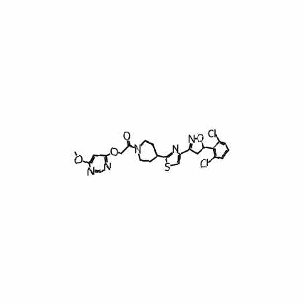 COc1cc(OCC(=O)N2CCC(c3nc(C4=NOC(c5c(Cl)cccc5Cl)C4)cs3)CC2)ncn1